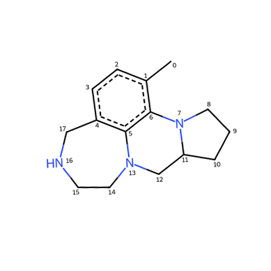 Cc1ccc2c3c1N1CCCC1CN3CCNC2